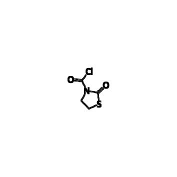 O=C(Cl)N1CCSC1=O